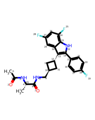 CC(=O)N[C@@H](C)C(=O)NC[C@H]1C[C@H](c2c(-c3ccc(F)cc3)[nH]c3c(F)cc(F)cc32)C1